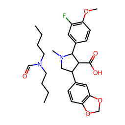 CCCCN(C=O)CCCC.COc1ccc(C2C(C(=O)O)C(c3ccc4c(c3)OCO4)CN2C)cc1F